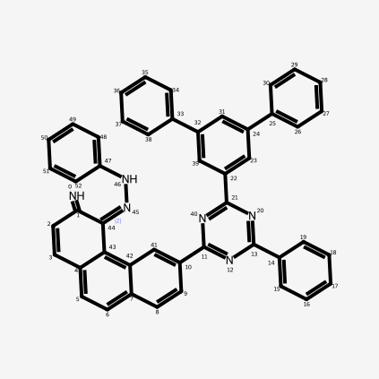 N=C1C=Cc2ccc3ccc(-c4nc(-c5ccccc5)nc(-c5cc(-c6ccccc6)cc(-c6ccccc6)c5)n4)cc3c2/C1=N/Nc1ccccc1